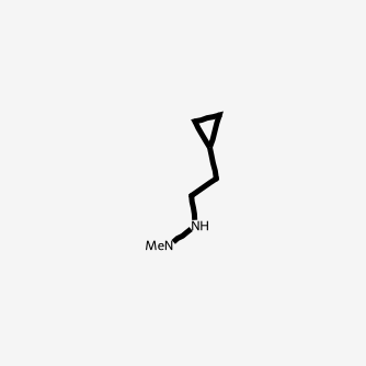 CNNCCC1CC1